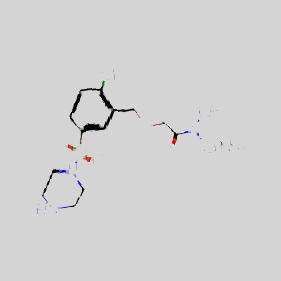 CON(C)C(=O)COCc1cc(S(=O)(=O)N2CCNCC2)ccc1Cl